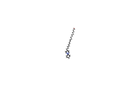 CCCCCCCCCCCCCCCCCCCc1cc[n+](-c2ccccc2)cc1